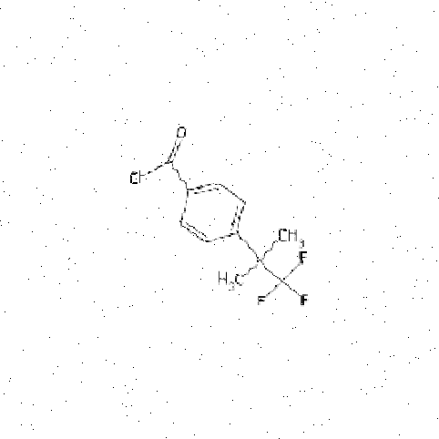 CC(C)(c1ccc(C(=O)Cl)cc1)C(F)(F)F